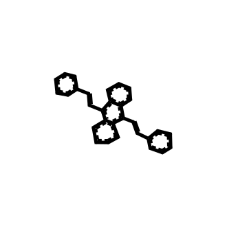 C(=C\c1c2ccccc2c(/C=C/c2ccccc2)c2ccccc12)/c1ccccc1